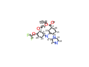 CC(C)Oc1cc(N(Cc2cnccn2)c2cccc(C(=O)OC(C)(C)C)c2)ccc1OC(F)F